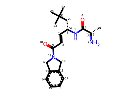 C[C@H](N)C(=O)N[C@H](C=CC(=O)N1Cc2ccccc2C1)CC(C)(C)C